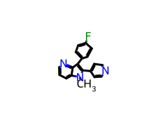 Cn1c(-c2ccncc2)c(-c2ccc(F)cc2)c2ncccc21